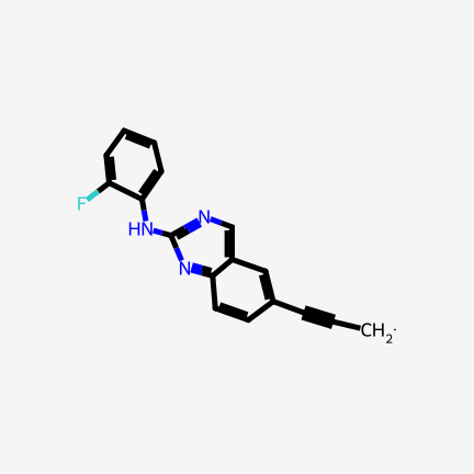 [CH2]C#Cc1ccc2nc(Nc3ccccc3F)ncc2c1